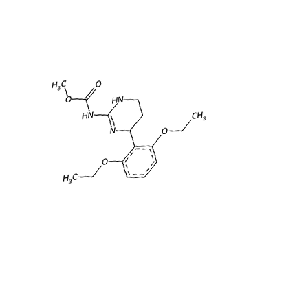 CCOc1cccc(OCC)c1C1CCNC(NC(=O)OC)=N1